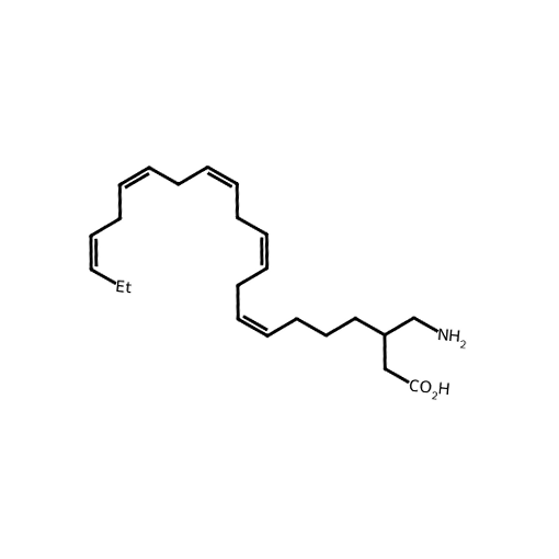 CC/C=C\C/C=C\C/C=C\C/C=C\C/C=C\CCCC(CN)CC(=O)O